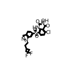 O=c1[nH]c2c(S(=O)(=O)c3ccc4cnn(CCC5CC(F)(F)C5)c4c3)ccc(Cl)c2c(=O)n1O